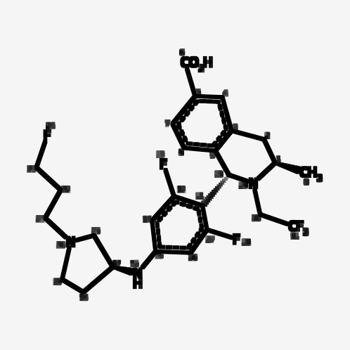 C[C@@H]1Cc2cc(C(=O)O)ccc2[C@@H](c2c(F)cc(N[C@H]3CCN(CCCF)C3)cc2F)N1CC(F)(F)F